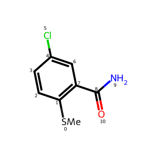 CSc1ccc(Cl)cc1C(N)=O